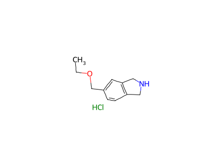 CCOCc1ccc2c(c1)CNC2.Cl